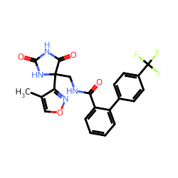 Cc1conc1C1(CNC(=O)c2ccccc2-c2ccc(C(F)(F)F)cc2)NC(=O)NC1=O